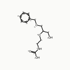 O=C(O)NCCOC(CO)COCc1ccccc1